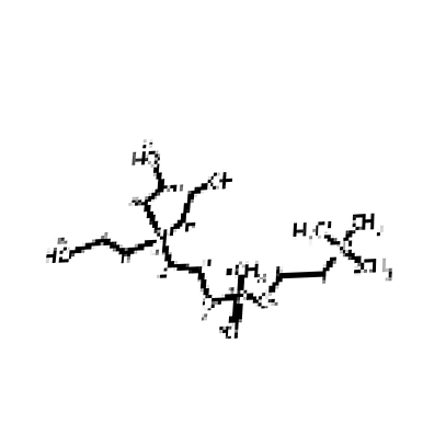 C[N+](C)(C)CCOP(C)(=O)OCC[N+](CCO)(CCO)CCO